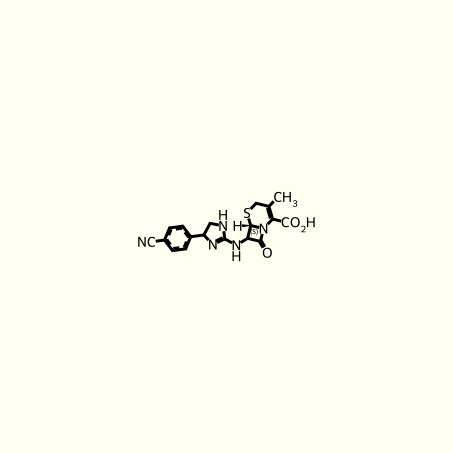 CC1=C(C(=O)O)N2C(=O)C(NC3=NC(c4ccc(C#N)cc4)CN3)[C@@H]2SC1